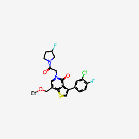 CCOCc1cn(CC(=O)N2CCC(F)C2)c(=O)c2c(-c3ccc(F)c(Cl)c3)csc12